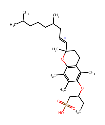 CCC(CS(=O)(=O)O)Oc1c(C)c(C)c2c(c1C)CCC(C)(/C=C/CC(C)CCCC(C)C)O2